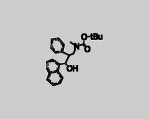 CN(CC(c1ccccc1)C(O)c1cccc2ccccc12)C(=O)OC(C)(C)C